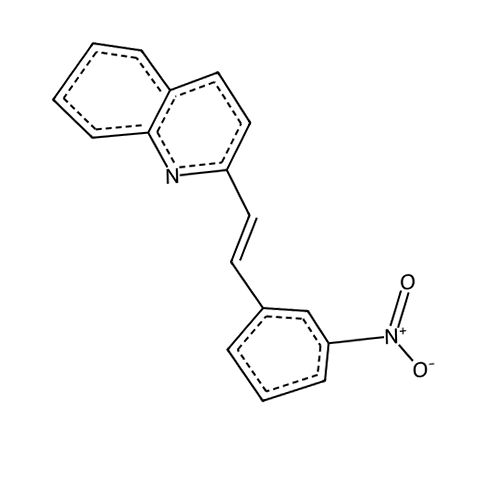 O=[N+]([O-])c1cccc(C=Cc2ccc3ccccc3n2)c1